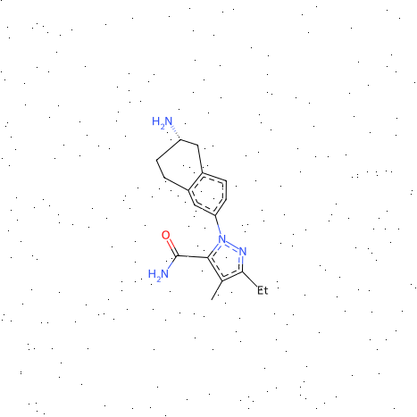 CCc1nn(-c2ccc3c(c2)CC[C@H](N)C3)c(C(N)=O)c1C